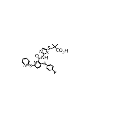 CC(C)(CSc1cnc(NC(=O)c2nc(Sc3ccccn3)ccc2Sc2ccc(F)cc2)s1)C(=O)O